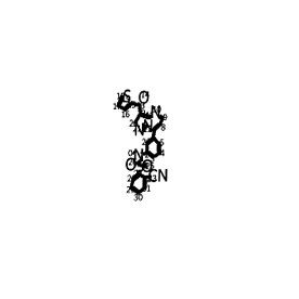 CN(c1cccc(-c2ccnc3c(C(=O)c4cccs4)cnn23)c1)S(=O)(=O)c1ccccc1C#N